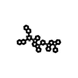 c1ccc(-n2c3ccccc3c3ccc4c(c5ccccc5n4-c4cccc(-n5c6ccccc6c6ccc7c(c8ccccc8n7-c7nc(-c8ccc9ccccc9c8)nc(-c8ccc9ccccc9c8)n7)c65)c4)c32)cc1